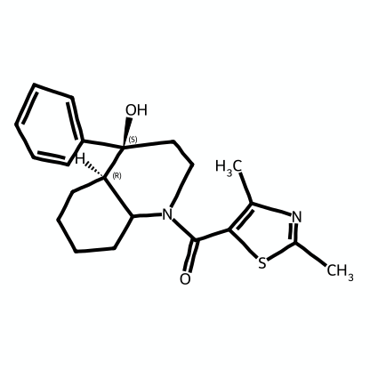 Cc1nc(C)c(C(=O)N2CC[C@@](O)(c3ccccc3)[C@@H]3CCCCC32)s1